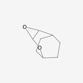 C1CC2CCC1OC1OC21